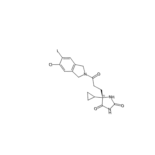 O=C1NC(=O)[C@](CCC(=O)N2Cc3cc(Cl)c(I)cc3C2)(C2CC2)N1